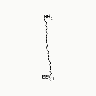 NCCCCCCCCCCCCCCCCCCCC[SiH](Cl)Cl